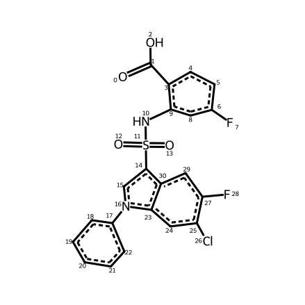 O=C(O)c1ccc(F)cc1NS(=O)(=O)c1cn(-c2ccccc2)c2cc(Cl)c(F)cc12